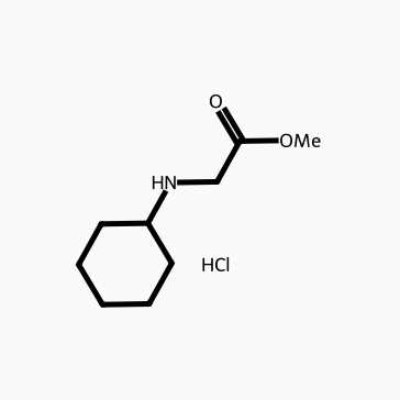 COC(=O)CNC1CCCCC1.Cl